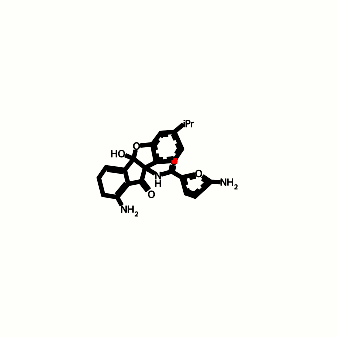 CC(C)c1ccc2c(c1)OC1(O)C3=CCCC(N)=C3C(=O)C21NC(=O)c1ccc(N)o1